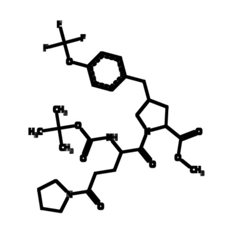 COC(=O)C1CC(Cc2ccc(OC(F)(F)F)cc2)CN1C(=O)C(CCC(=O)N1CCCC1)NC(=O)OC(C)(C)C